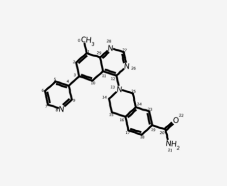 Cc1cc(-c2cccnc2)cc2c(N3CCc4ccc(C(N)=O)cc4C3)ncnc12